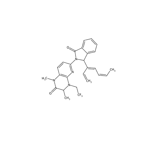 C=C/C(=C\C=C/C)C1c2ccccc2C(=O)N1c1ccc2c(n1)N(CC(F)(F)F)C(C)C(=O)N2C